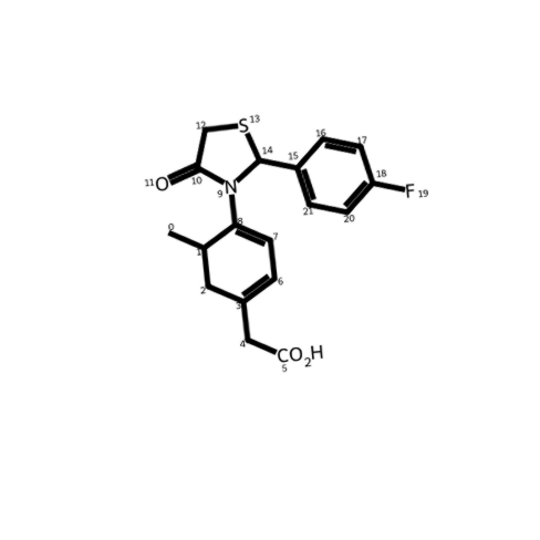 CC1CC(CC(=O)O)=CC=C1N1C(=O)CSC1c1ccc(F)cc1